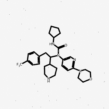 O=C(NC1CCCC1)N(c1ccc(N2CCOCC2)nc1)C(Cc1ccc(C(F)(F)F)cc1)C1CCNCC1